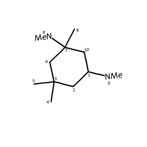 CNC1CC(C)(C)CC(C)(NC)C1